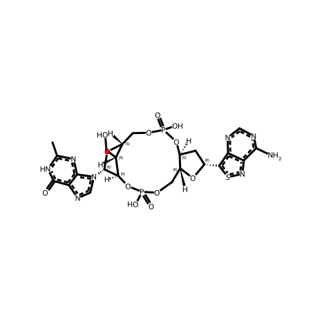 Cc1nc2c(ncn2[C@@H]2O[C@@H]3COP(=O)(O)O[C@H]4C[C@H](c5snc6c(N)ncnc56)O[C@@H]4COP(=O)(O)O[C@@H]2[C@@H]3CO)c(=O)[nH]1